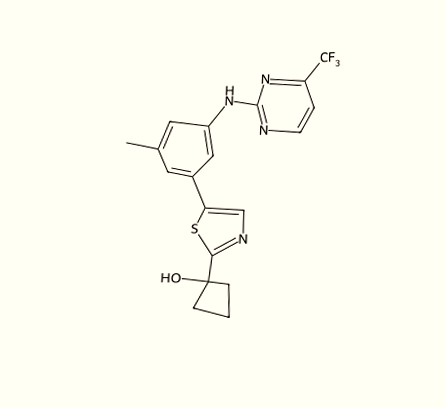 Cc1cc(Nc2nccc(C(F)(F)F)n2)cc(-c2cnc(C3(O)CCC3)s2)c1